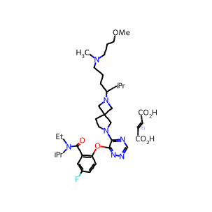 CCN(C(=O)c1cc(F)ccc1Oc1nncnc1N1CCC2(C1)CN(C(CCCN(C)CCCOC)C(C)C)C2)C(C)C.O=C(O)/C=C/C(=O)O